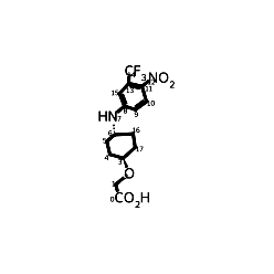 O=C(O)CO[C@H]1CC[C@H](Nc2ccc([N+](=O)[O-])c(C(F)(F)F)c2)CC1